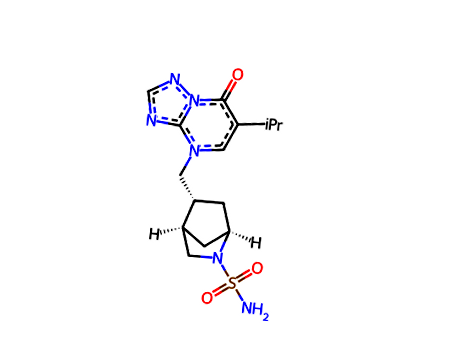 CC(C)c1cn(C[C@@H]2C[C@@H]3C[C@H]2CN3S(N)(=O)=O)c2ncnn2c1=O